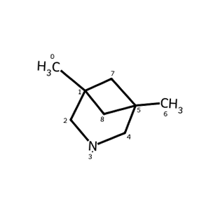 CC12C[N]CC(C)(C1)C2